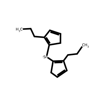 CCCC1=[C]([Sn][C]2=C(CCC)C=CC2)CC=C1